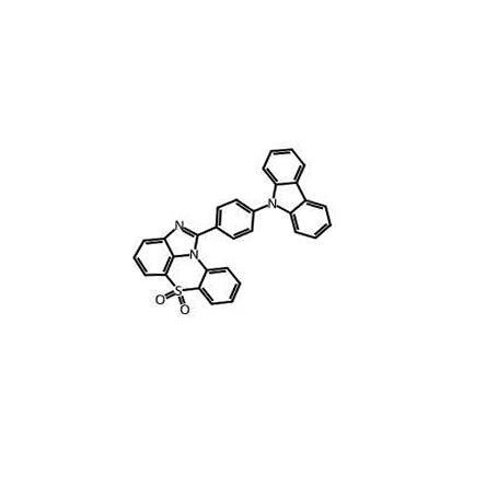 O=S1(=O)c2ccccc2-n2c(-c3ccc(-n4c5ccccc5c5ccccc54)cc3)nc3cccc1c32